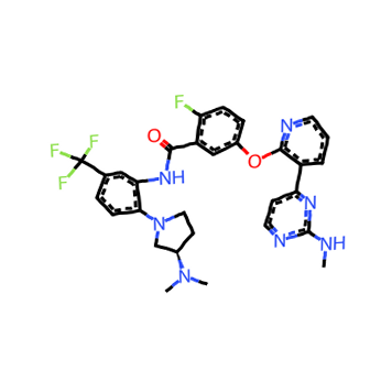 CNc1nccc(-c2cccnc2Oc2ccc(F)c(C(=O)Nc3cc(C(F)(F)F)ccc3N3CC[C@@H](N(C)C)C3)c2)n1